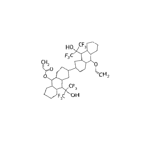 C=COC1C2CCCCC2C(C(O)(C(F)(F)F)C(F)(F)F)C2CC(C3CCC4C(C3)C(C(O)(C(F)(F)F)C(F)(F)F)C3CCCCC3C4OC(=O)C=C)CCC21